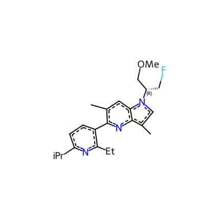 CCc1nc(C(C)C)ccc1-c1nc2c(C)cn([C@@H](CF)COC)c2cc1C